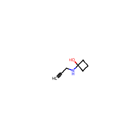 C#CCNC1(O)CCC1